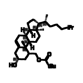 CC(C)CCC[C@@H](C)[C@H]1CC[C@H]2[C@@H]3CC=C4C[C@@H](O)CC(COC(=O)C(C)(C)C)[C@@]4(C)[C@H]3CC[C@]12C